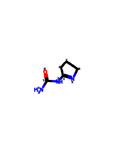 NC(=O)NC1=NCCC1